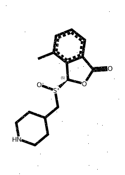 Cc1cccc2c1[C@H]([S+]([O-])CC1CCNCC1)OC2=O